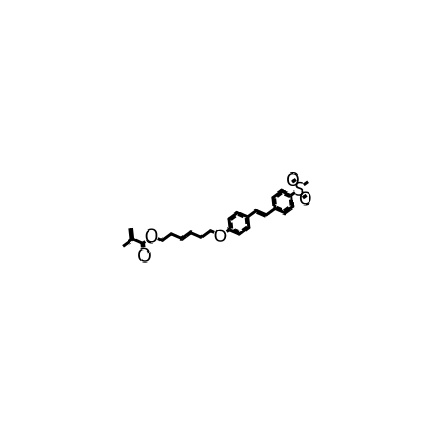 C=C(C)C(=O)OCCCCCCOc1ccc(C=Cc2ccc(S(C)(=O)=O)cc2)cc1